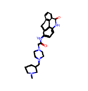 CN1CCCC(CN2CCN(CC(=O)Nc3ccc4[nH]c(=O)c5cccc6c5c4c3C6)CC2)C1